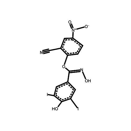 N#Cc1cc([N+](=O)[O-])ccc1OC(=NO)c1cc(I)c(O)c(I)c1